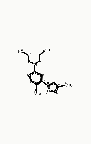 Nc1ccc(N(CCO)CCO)cc1-c1cc(C=O)co1